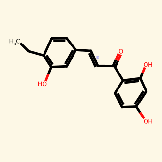 CCc1ccc(/C=C/C(=O)c2ccc(O)cc2O)cc1O